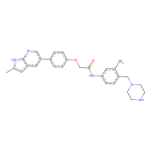 Cc1cc2cc(-c3ccc(OCC(=O)Nc4ccc(CN5CCNCC5)c(C(F)(F)F)c4)cc3)cnc2[nH]1